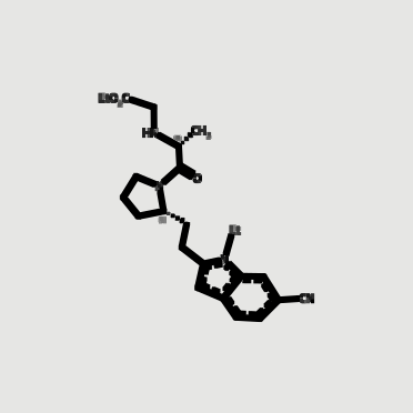 CCOC(=O)CN[C@H](C)C(=O)N1CCC[C@H]1CCc1cc2ccc(C#N)cc2n1CC